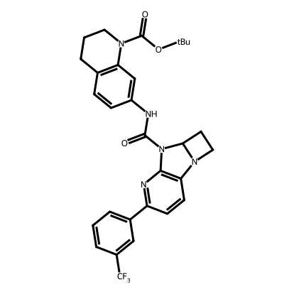 CC(C)(C)OC(=O)N1CCCc2ccc(NC(=O)N3c4nc(-c5cccc(C(F)(F)F)c5)ccc4N4CCC43)cc21